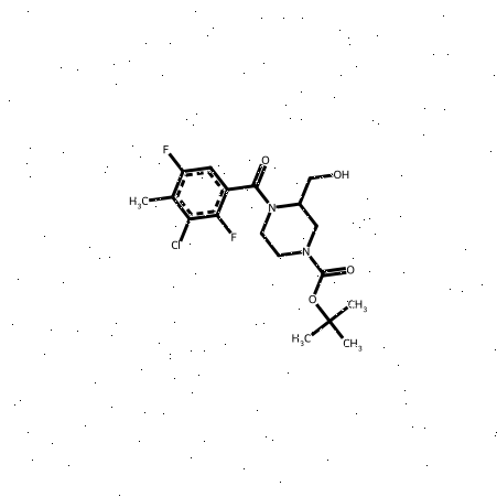 Cc1c(F)cc(C(=O)N2CCN(C(=O)OC(C)(C)C)CC2CO)c(F)c1Cl